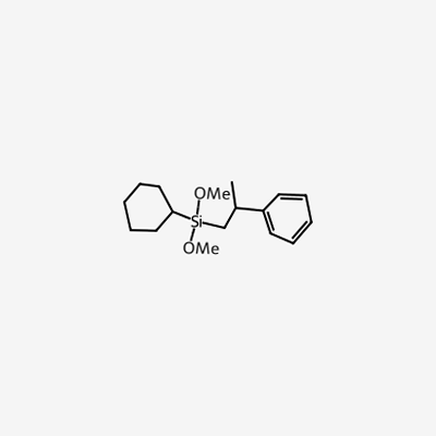 CO[Si](CC(C)c1ccccc1)(OC)C1CCCCC1